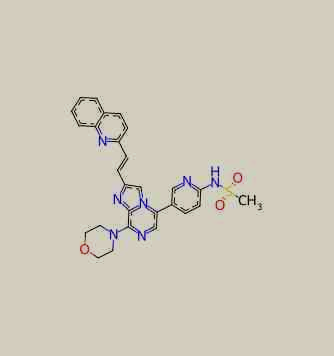 CS(=O)(=O)Nc1ccc(-c2cnc(N3CCOCC3)c3nc(C=Cc4ccc5ccccc5n4)cn23)cn1